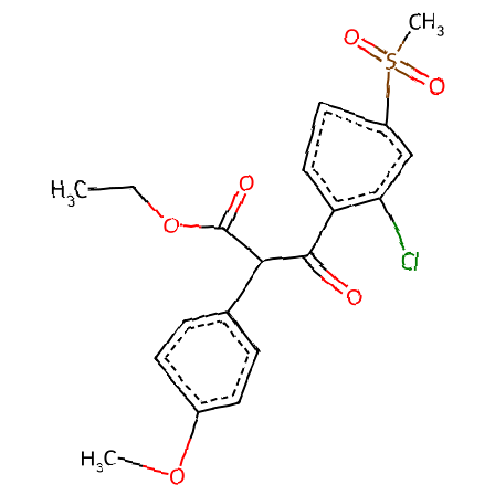 CCOC(=O)C(C(=O)c1ccc(S(C)(=O)=O)cc1Cl)c1ccc(OC)cc1